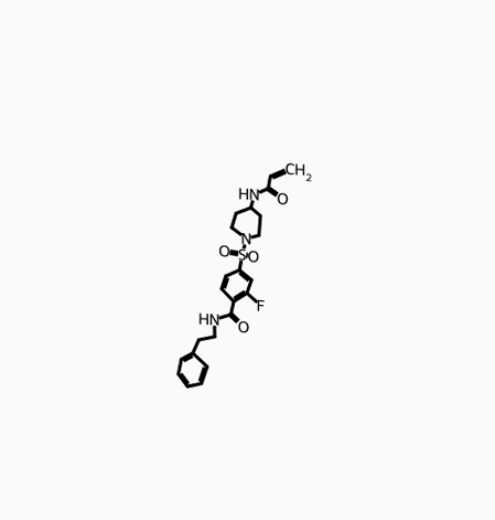 C=CC(=O)NC1CCN(S(=O)(=O)c2ccc(C(=O)NCCc3ccccc3)c(F)c2)CC1